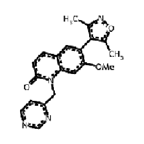 COc1cc2c(ccc(=O)n2Cc2ccncn2)cc1-c1c(C)noc1C